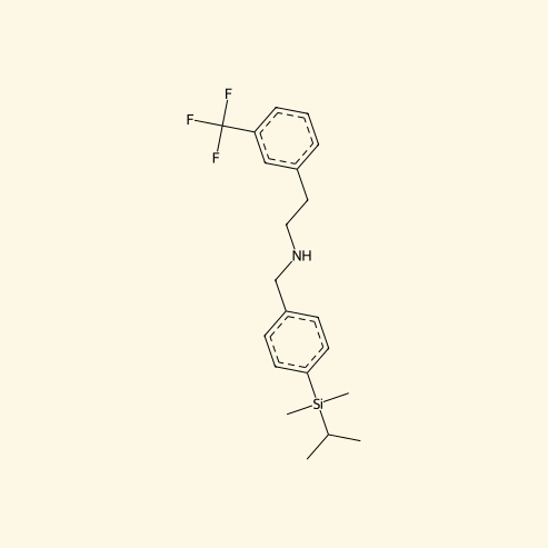 CC(C)[Si](C)(C)c1ccc(CNCCc2cccc(C(F)(F)F)c2)cc1